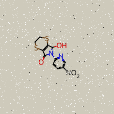 O=C1C2=C(SCCS2)C(O)N1c1ccc([N+](=O)[O-])cn1